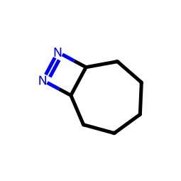 C1CC[C]2N=NC2CC1